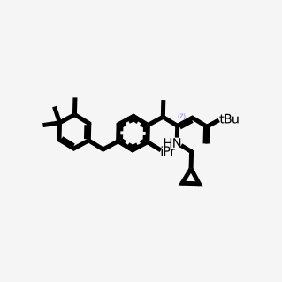 C=C(/C=C(\NCC1CC1)C(C)c1ccc(CC2=CC(C)C(C)(C)C=C2)cc1C(C)C)C(C)(C)C